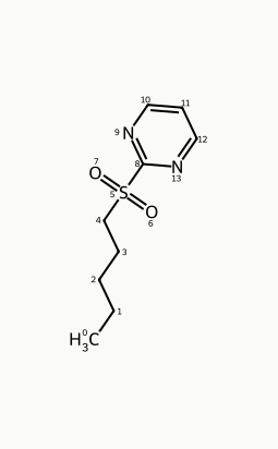 CCCCCS(=O)(=O)c1ncccn1